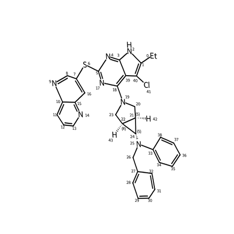 CCc1[nH]c2nc(Sc3cnc4cccnc4c3)nc(N3C[C@@H]4[C@H](C3)[C@H]4N(Cc3ccccc3)c3ccccc3)c2c1Cl